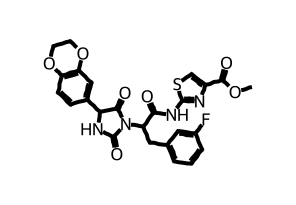 COC(=O)c1csc(NC(=O)C(Cc2cccc(F)c2)N2C(=O)NC(c3ccc4c(c3)OCCO4)C2=O)n1